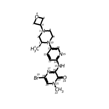 C[C@H]1CN(C2COC2)CCN1c1ccc(Nc2nc(Br)cn(C)c2=O)nc1